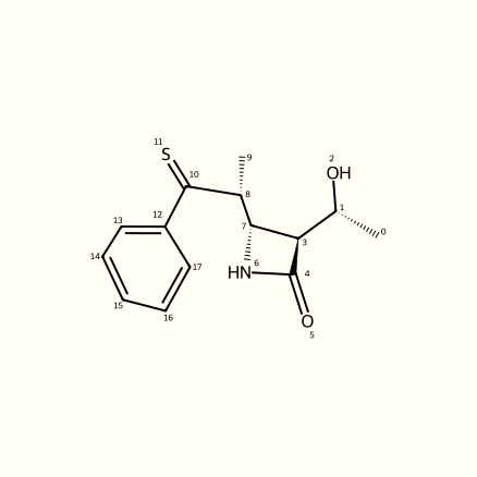 C[C@@H](O)[C@H]1C(=O)N[C@@H]1[C@@H](C)C(=S)c1ccccc1